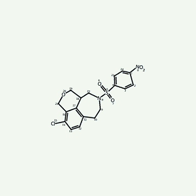 O=[N+]([O-])c1ccc(S(=O)(=O)N2CCc3ccc(Cl)c4c3C(COC4)C2)cc1